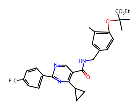 CCOC(=O)C(C)(C)Oc1ccc(CNC(=O)c2cnc(-c3ccc(C(F)(F)F)cc3)nc2C2CC2)cc1C